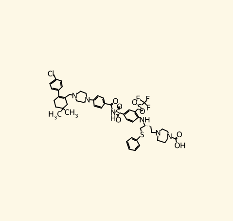 CC1(C)CCC(c2ccc(Cl)cc2)=C(CN2CCN(c3ccc(C(=O)NS(=O)(=O)c4ccc(N[C@H](CCN5CCN(C(=O)O)CC5)CSc5ccccc5)c(S(=O)(=O)C(F)(F)F)c4)cc3)CC2)C1